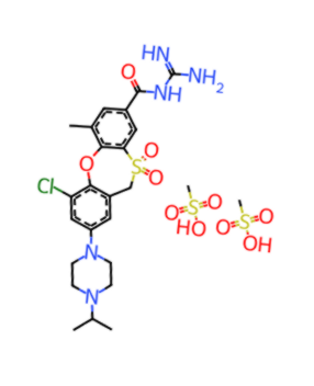 CS(=O)(=O)O.CS(=O)(=O)O.Cc1cc(C(=O)NC(=N)N)cc2c1Oc1c(Cl)cc(N3CCN(C(C)C)CC3)cc1CS2(=O)=O